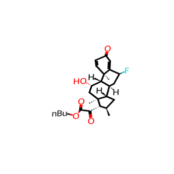 CCCCOC(=O)C(=O)[C@H]1[C@H](C)C[C@H]2[C@@H]3C[C@H](F)C4=CC(=O)C=C[C@]4(C)[C@H]3[C@@H](O)C[C@@]21C